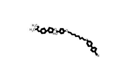 CCC(C)Cc1ccc(-c2ccc(OC(O)c3ccc(OCCCCCCCCCOc4ccc(-c5ccc(C#N)cc5)cc4)cc3)cc2)cc1